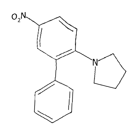 O=[N+]([O-])c1ccc(N2CCCC2)c(-c2ccccc2)c1